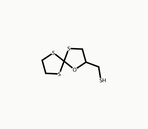 SCC1CSC2(O1)SCCS2